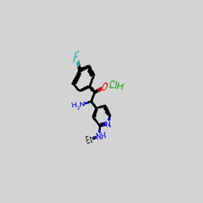 CCNc1cc(C(N)C(=O)c2ccc(F)cc2)ccn1.Cl